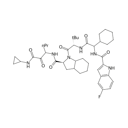 CCCC(NC(=O)[C@@H]1CC2CCCCC2N1C(=O)[C@@H](NC(=O)C(NC(=O)c1cc2cc(F)ccc2[nH]1)C1CCCCC1)C(C)(C)C)C(=O)C(=O)NC1CC1